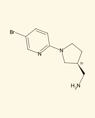 NC[C@@H]1CCN(c2ccc(Br)cn2)C1